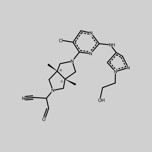 C[C@@]12CN(c3nc(Nc4cnn(CCO)c4)ncc3Cl)C[C@]1(C)CN(C(C#N)C=O)C2